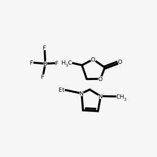 CC1COC(=O)O1.CCN1C=CN(C)C1.F[B-](F)(F)F